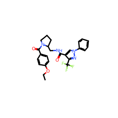 CCOc1ccc(C(=O)N2CCCC2CNC(=O)c2cn(-c3ccccc3)nc2C(F)(F)F)cc1